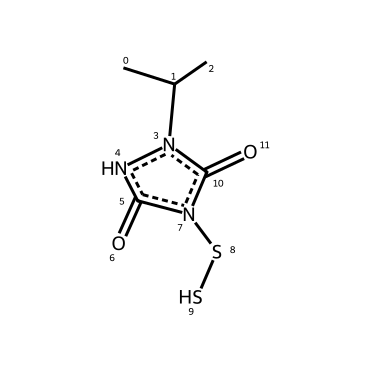 CC(C)n1[nH]c(=O)n(SS)c1=O